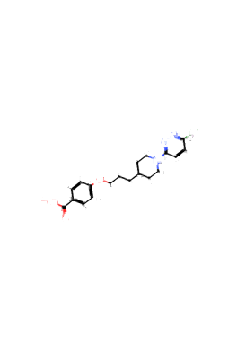 O=C(O)c1ccc(OCCCC2CCN(c3ccc(Cl)nn3)CC2)cc1